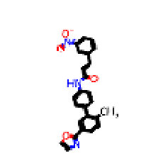 Cc1ccc(-c2ncco2)cc1-c1ccc(NC(=O)C=Cc2cccc([N+](=O)[O-])c2)cc1